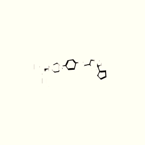 C=C(C)N1CCN(c2ccc(OCC3COC(C)(C4=CC=CC4)O3)cc2)CC1